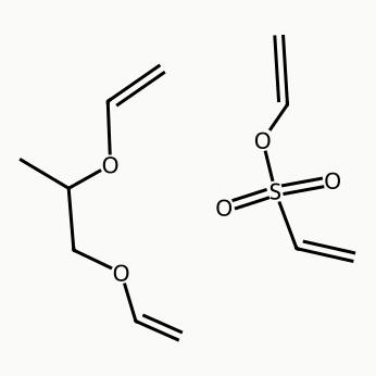 C=COCC(C)OC=C.C=COS(=O)(=O)C=C